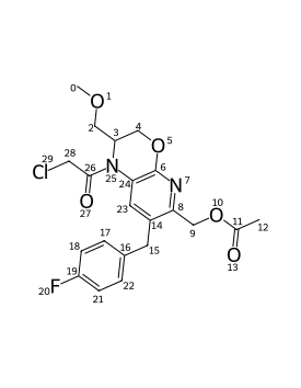 COCC1COc2nc(COC(C)=O)c(Cc3ccc(F)cc3)cc2N1C(=O)CCl